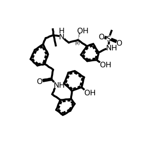 CC(C)(Cc1cccc(CC(=O)NCc2ccccc2-c2ccccc2O)c1)NC[C@H](O)c1ccc(O)c(NS(C)(=O)=O)c1